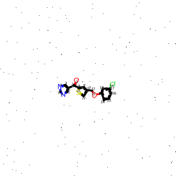 O=C(c1cncnc1)c1cc(COc2cccc(Cl)c2)cs1